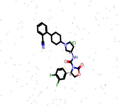 Cl.N#Cc1ccccc1C1CCC(N2CC[C@@H](NC(=O)N3C(=O)OC[C@@H]3c3ccc(F)c(F)c3)C2)CC1